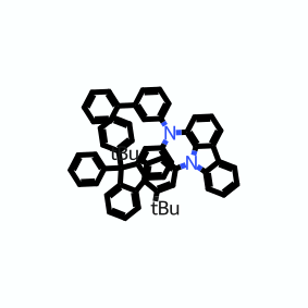 CC(C)(C)c1cc(-n2c3ccccc3c3cccc(N(c4cccc(-c5ccccc5)c4)c4ccc5c(c4)C(c4ccccc4)(c4ccccc4)c4ccccc4-5)c32)cc(C(C)(C)C)c1